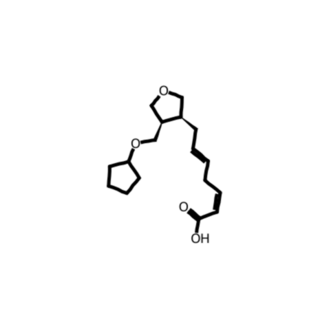 O=C(O)/C=C\CC=CC[C@@H]1COC[C@@H]1COC1CCCC1